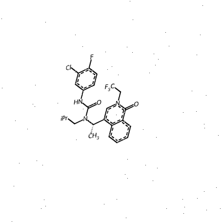 CC(C)CN(C(=O)Nc1ccc(F)c(Cl)c1)[C@@H](C)c1cn(CC(F)(F)F)c(=O)c2ccccc12